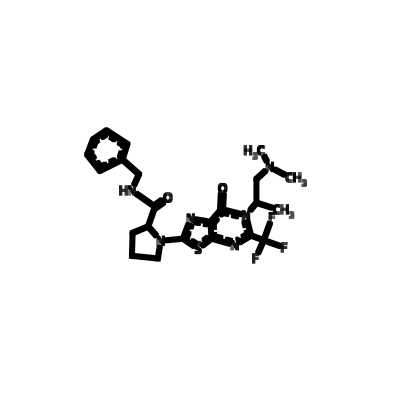 CC(CN(C)C)n1c(C(F)(F)F)nc2sc(N3CCCC3C(=O)NCc3ccccc3)nc2c1=O